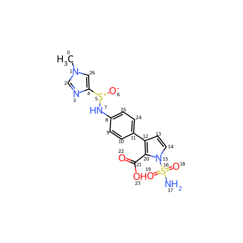 Cn1cnc([S+]([O-])Nc2ccc(-c3ccn(S(N)(=O)=O)c3C(=O)O)cc2)c1